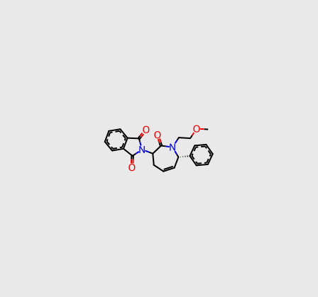 COCCN1C(=O)C(N2C(=O)c3ccccc3C2=O)CC=C[C@H]1c1ccccc1